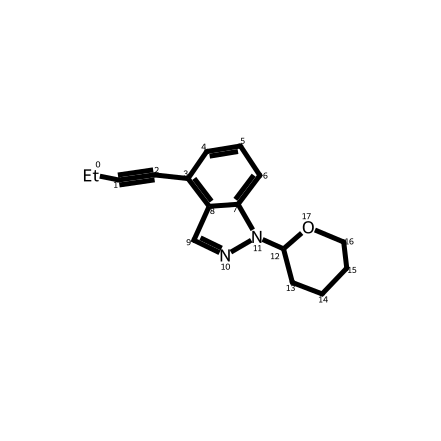 CCC#Cc1cccc2c1cnn2C1CCCCO1